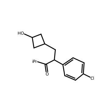 CC(C)C(=O)C(CC1CC(O)C1)c1ccc(Cl)cc1